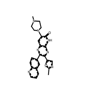 Cc1ncc(-c2nc3[nH]c(=O)c(N4CCN(C)CC4)cc3nc2-c2ccc3ncccc3c2)s1